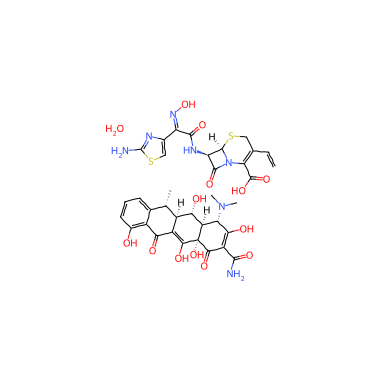 C=CC1=C(C(=O)O)N2C(=O)[C@@H](NC(=O)/C(=N\O)c3csc(N)n3)[C@H]2SC1.C[C@H]1c2cccc(O)c2C(=O)C2=C(O)[C@]3(O)C(=O)C(C(N)=O)=C(O)[C@@H](N(C)C)[C@@H]3[C@@H](O)[C@@H]21.O